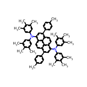 Cc1ccc(-c2cc(N(c3cc(C)c(C)c(C)c3)c3cc(C)c(C)c(C)c3)c3ccc4c(-c5ccc(C)cc5)cc(N(c5cc(C)c(C)c(C)c5)c5cc(C)c(C)c(C)c5)c5ccc2c3c45)cc1